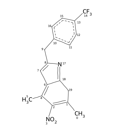 CC1=C([N+](=O)[O-])C(C)=C2C=C(Cc3ccc(C(F)(F)F)cc3)N=C2C1